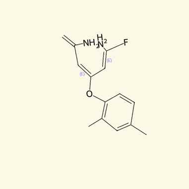 C=C(N)/C=C(\C=C(/N)F)Oc1ccc(C)cc1C